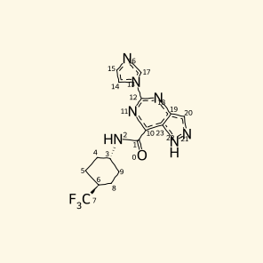 O=C(N[C@H]1CC[C@H](C(F)(F)F)CC1)c1nc(-n2ccnc2)nc2cn[nH]c12